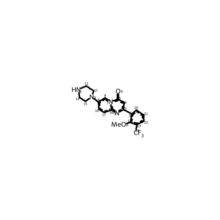 COc1c(-c2cc(=O)n3cc(N4CCNCC4)ccc3n2)cccc1C(F)(F)F